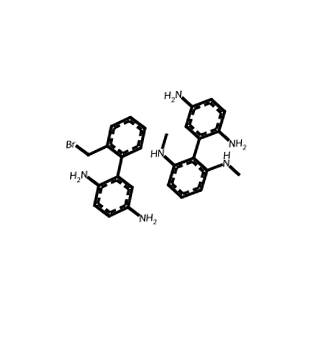 CNc1cccc(NC)c1-c1cc(N)ccc1N.Nc1ccc(N)c(-c2ccccc2CBr)c1